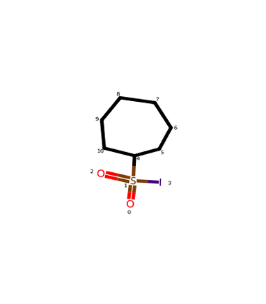 O=S(=O)(I)C1CCCCCC1